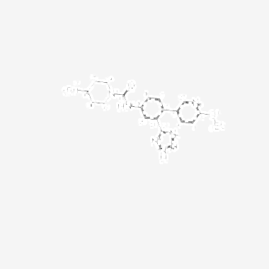 CCOc1ccc(-c2ccc(NC(=O)N3CCC(C(C)(C)C)CC3)cc2-c2nn[nH]n2)cn1